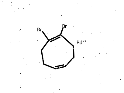 BrC1=C(Br)CCC=CCC1.[Pd+2]